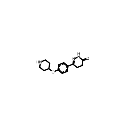 O=C1CCC(c2ccc(OC3CCNCC3)cc2)=NN1